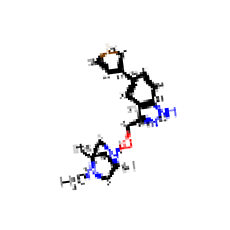 CN1C[C@@H]2C[C@H]1CN2OCc1n[nH]c2ccc(-c3ccsc3)cc12